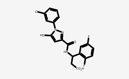 O=C(O)CC(NC(=O)c1cc(O)n(-c2cccc(Cl)c2)n1)c1cc(F)ccc1F